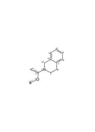 O=C(OBr)N1CCc2ccccc2C1